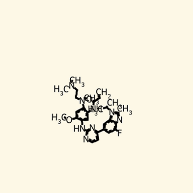 C=CC(=O)Nc1cc(Nc2nccc(-c3cc(F)c4nc(C)n(C(C)C)c4c3)n2)c(OC)cc1N(C)CCN(C)C